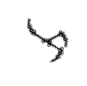 C=C(C(=O)OCCCCCCCCCC(=O)OCC(COC(=O)CCCCCCCCCOC(=O)C(=C)c1ccc(C2CCC(CCCCC)CC2)cc1)OC(=O)CCCCCCCCCOC(=O)C(=C)c1ccc(C2CCC(CCCCC)CC2)cc1)c1ccc(C2CCC(CCCCC)CC2)cc1